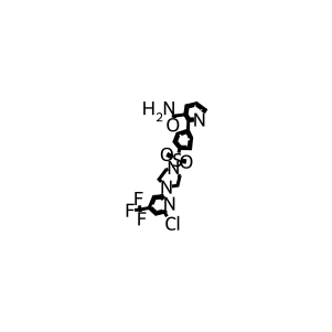 NC(=O)c1cccnc1-c1ccc(S(=O)(=O)N2CCN(c3cc(C(F)(F)F)cc(Cl)n3)CC2)cc1